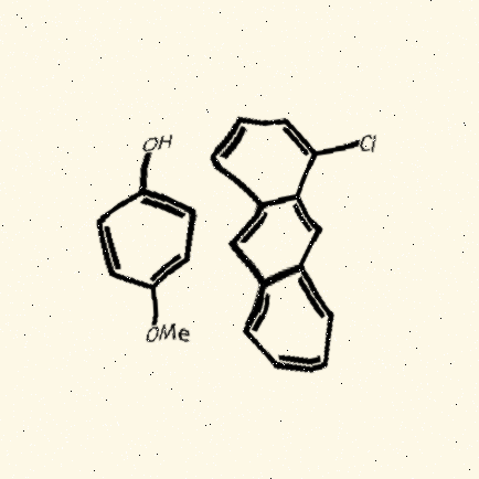 COc1ccc(O)cc1.Clc1cccc2cc3ccccc3cc12